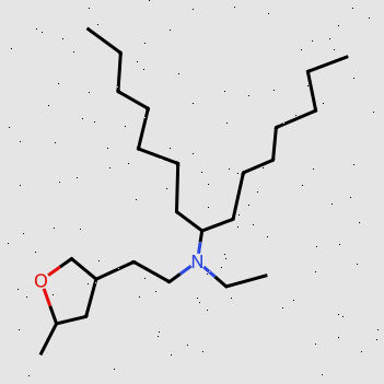 CCCCCCCC(CCCCCCC)N(CC)CCC1COC(C)C1